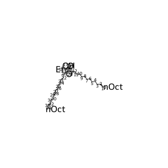 CCCCCCCCC=CCCCCCCCCCCCC(=O)C(O)(CC)C(=O)CCCCCCCCCCCC=CCCCCCCCC